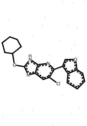 Clc1cc2nc(OC3CCCCC3)[nH]c2nc1-c1coc2ccccc12